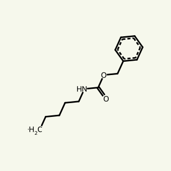 [CH2]CCCCNC(=O)OCc1ccccc1